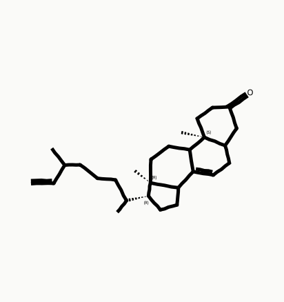 C=CC(C)CCCC(C)[C@H]1CCC2C3=CCC4CC(=O)CC[C@]4(C)C3CC[C@@]21C